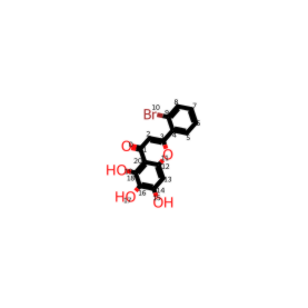 O=c1cc(-c2ccccc2Br)oc2cc(O)c(O)c(O)c12